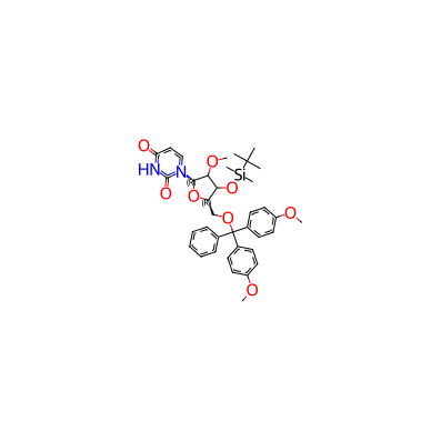 COc1ccc(C(OC[C@H]2O[C@@H](n3ccc(=O)[nH]c3=O)C(OC)C2O[Si](C)(C)C(C)(C)C)(c2ccccc2)c2ccc(OC)cc2)cc1